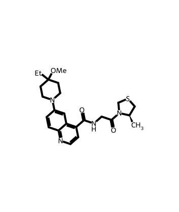 CCC1(OC)CCN(c2ccc3nccc(C(=O)NCC(=O)N4CSC[C@H]4C)c3c2)CC1